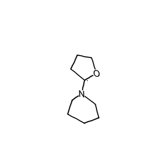 C1CCN([C]2CCCO2)CC1